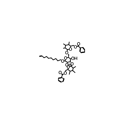 C=CCCCCCCCCOC1OC(COC2OC(COC(=O)c3ccccc3)C(C)C(C)C2C)C(O)C(OC2OC(COC(=O)c3ccccc3)C(C)C(C)C2C)C1O